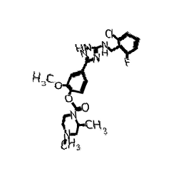 COc1cc(-c2n[nH]c(NCc3c(F)cccc3Cl)n2)ccc1OC(=O)N1CCN(C)CC1C